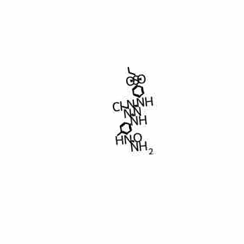 CCCS(=O)(=O)c1ccc(Nc2nc(Cl)nc(Nc3ccc(C)c(NC(N)=O)c3)n2)cc1